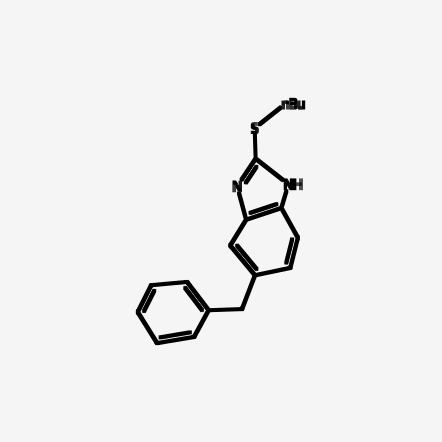 CCCCSc1nc2cc(Cc3ccccc3)ccc2[nH]1